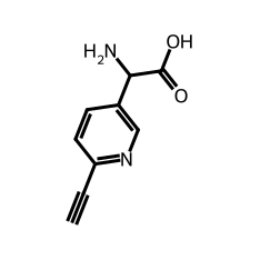 C#Cc1ccc(C(N)C(=O)O)cn1